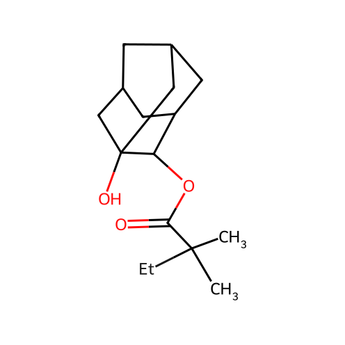 CCC(C)(C)C(=O)OC1C2CC3CC(C2)CC1(O)C3